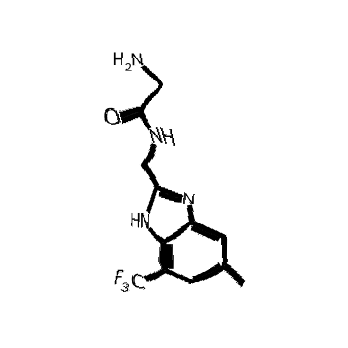 Cc1cc(C(F)(F)F)c2[nH]c(CNC(=O)CN)nc2c1